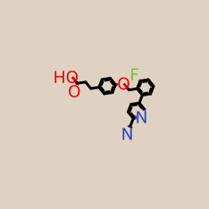 N#Cc1ccc(-c2cccc(F)c2COc2ccc(CCC(=O)O)cc2)cn1